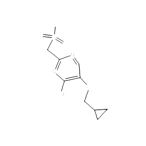 CS(=O)(=O)Cc1ncc(OCC2CC2)c(O)n1